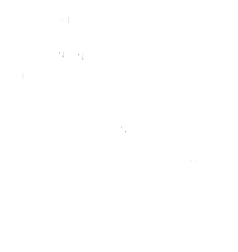 O=C(COc1cc(C(F)(F)F)nn1C1=CC=CCC1Cl)Nc1ccc(Oc2ccc(Cl)cc2)cc1